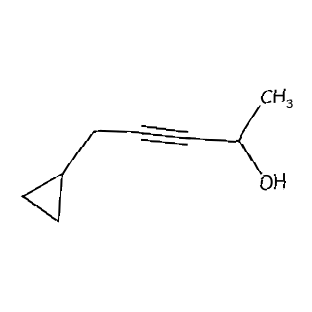 CC(O)C#CCC1CC1